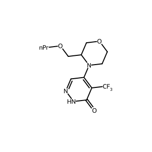 CCCOCC1COCCN1c1cn[nH]c(=O)c1C(F)(F)F